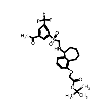 CC(=O)c1cc(C(F)(F)F)cc(S(=O)(=O)CNC2CCCCc3c(OCC(=O)OC(C)(C)C)cccc32)c1